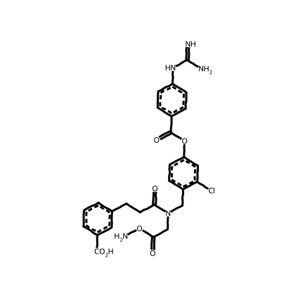 N=C(N)Nc1ccc(C(=O)Oc2ccc(CN(CC(=O)ON)C(=O)CCc3cccc(C(=O)O)c3)c(Cl)c2)cc1